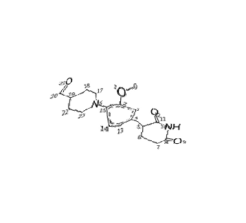 COc1cc(C2CCC(=O)NC2=O)ccc1N1CCC(C=O)CC1